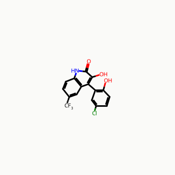 O=c1[nH]c2ccc(C(F)(F)F)cc2c(-c2cc(Cl)ccc2O)c1O